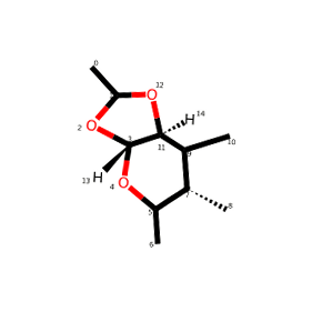 CC1O[C@H]2OC(C)[C@@H](C)C(C)[C@@H]2O1